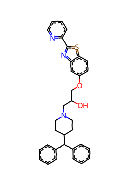 OC(COc1ccc2sc(-c3ccccn3)nc2c1)CN1CCC(C(c2ccccc2)c2ccccc2)CC1